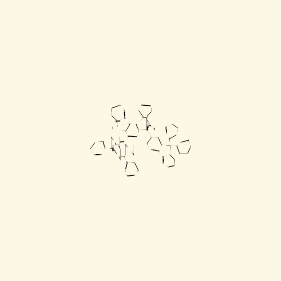 c1ccc(-c2nc(-c3ccccc3)nc(-c3cc4c(-c5ccc6c(c5)C(c5ccccc5)(c5ccccc5)c5ccccc5-6)nc5ccccc5c4c4c3oc3ccccc34)n2)cc1